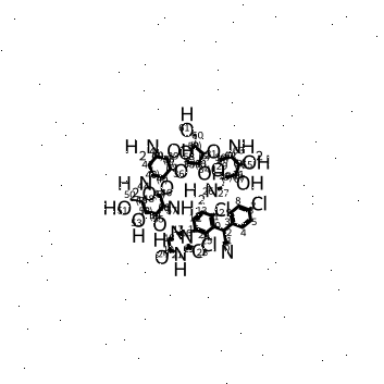 N#CC(c1ccc(Cl)cc1)c1c(Cl)ccc(-n2ncc(=O)[nH]c2=O)c1Cl.NC[C@@H]1O[C@H](O[C@H]2[C@@H](O)[C@H](O[C@@H]3[C@@H](O)[C@H](N)C[C@H](N)[C@H]3O[C@H]3O[C@H](CO)[C@@H](O)[C@H](O)[C@H]3N)O[C@@H]2CO)[C@H](N)[C@@H](O)[C@@H]1O